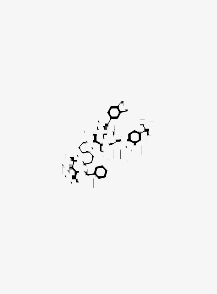 CCc1c(N2CCC3C2CCCN3C(=O)c2ncnc(C)c2OCc2ccccc2)c(=O)n2nc(-c3ccc4c(c3)COC4)nc2n1CC(=O)Nc1ccc(C(F)(F)F)cc1Cl